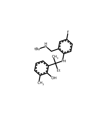 CCC(C)(Pc1ccc(F)cc1CNC(C)(C)C)c1cccc(C)c1O